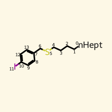 CCCCCCCCCCCSCc1ccc(I)cc1